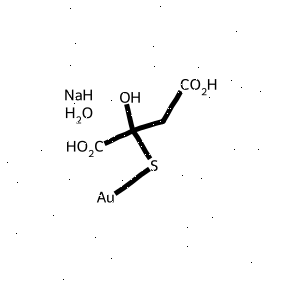 O.O=C(O)CC(O)([S][Au])C(=O)O.[NaH]